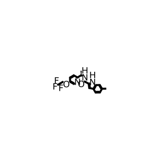 Cc1ccc2cc(C(=O)N[C@H](C)c3ccc(OCC(F)(F)F)cn3)[nH]c2c1